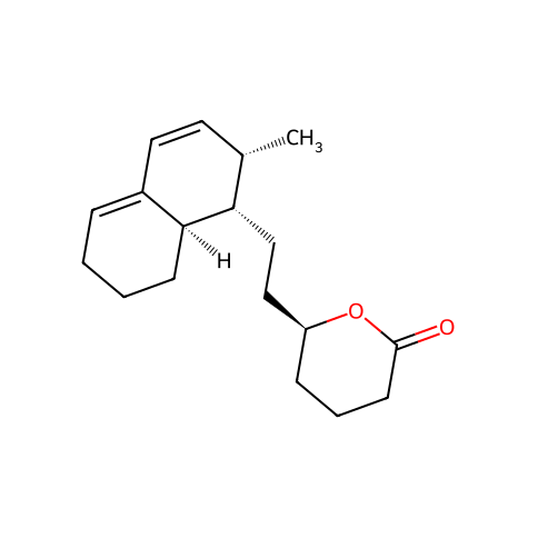 C[C@H]1C=CC2=CCCC[C@@H]2[C@H]1CC[C@@H]1CCCC(=O)O1